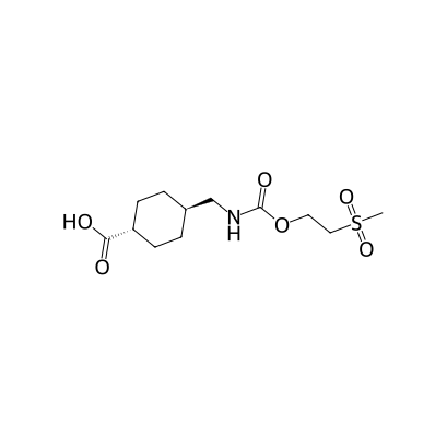 CS(=O)(=O)CCOC(=O)NC[C@H]1CC[C@H](C(=O)O)CC1